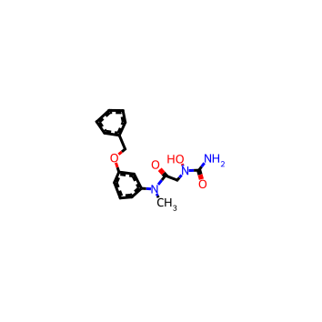 CN(C(=O)CN(O)C(N)=O)c1cccc(OCc2ccccc2)c1